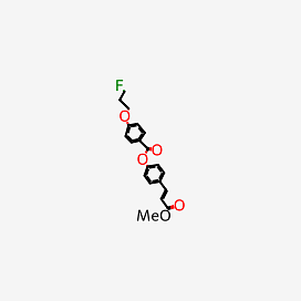 COC(=O)/C=C/c1ccc(OC(=O)c2ccc(OCCCF)cc2)cc1